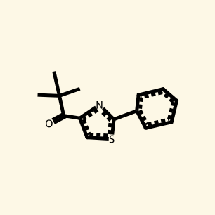 CC(C)(C)C(=O)c1csc(-c2ccccc2)n1